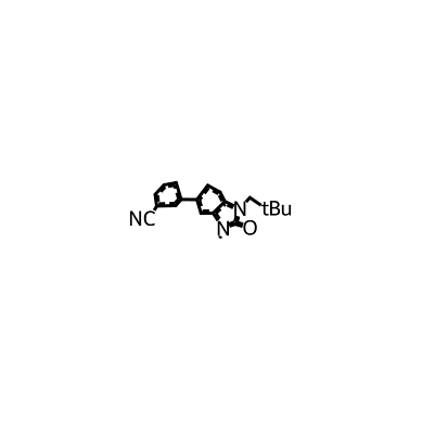 Cn1c(=O)n(CC(C)(C)C)c2ccc(-c3cccc(C#N)c3)cc21